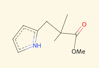 COC(=O)C(C)(C)Cc1ccc[nH]1